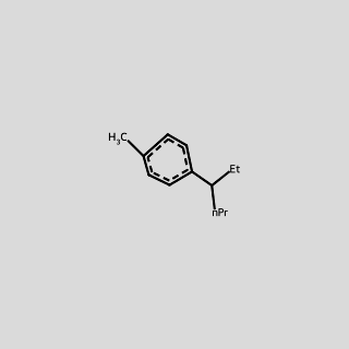 [CH2]CCC(CC)c1ccc(C)cc1